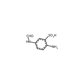 Nc1ccc(NC=O)cc1S(=O)(=O)O